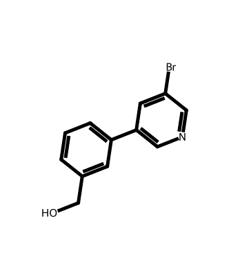 OCc1cccc(-c2cncc(Br)c2)c1